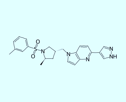 Cc1cccc(S(=O)(=O)N2C[C@H](Cn3ccc4nc(-c5cn[nH]c5)ccc43)C[C@H]2C)c1